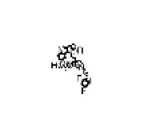 COc1ccc2ncc(CO)c(C(O)CCC3(CC(=O)O)CCN(CCSc4c(F)cc(F)cc4F)CC3)c2c1